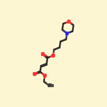 CC(C)(C)COC(=O)C=CC(=O)OCCCCN1CCOCC1